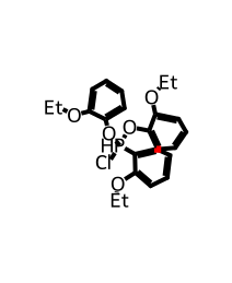 CCOc1ccccc1O[PH](Cl)(Oc1ccccc1OCC)c1ccccc1OCC